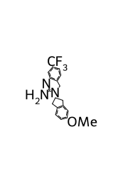 COc1ccc2c(c1)CC(N1Cc3ccc(C(F)(F)F)cc3N=C1N)C2